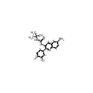 Bc1ccc2nc(-c3ccc(F)c(Cl)c3)c(CC(=O)NC(C)(C)C)cc2c1